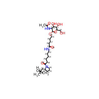 CC(=O)NC1C(O)[C@@H](O)C(CO)O[C@H]1OCCCCC(=O)NCCCCCC(=O)N1CCC[C@H]1CC(C)(C)C